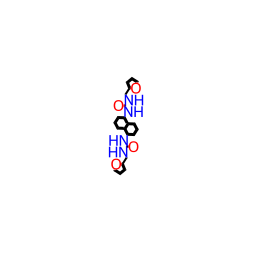 O=C(NCc1ccco1)Nc1cccc2c(NC(=O)NCc3ccco3)cccc12